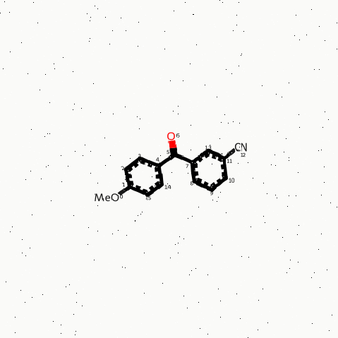 COc1ccc(C(=O)c2cccc(C#N)c2)cc1